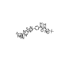 CC(C)(C)c1cc(NC(=O)Nc2ccc(-c3cn4c(n3)sc3nc(NCC5(N)CC5)ncc34)cc2)no1